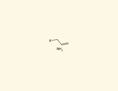 C=C[CH2][K].N